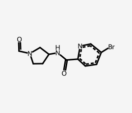 O=CN1CCC(NC(=O)c2ccc(Br)cn2)C1